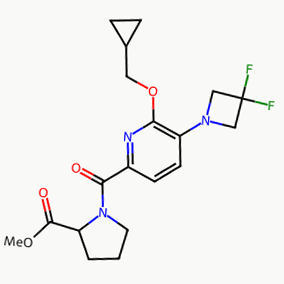 COC(=O)C1CCCN1C(=O)c1ccc(N2CC(F)(F)C2)c(OCC2CC2)n1